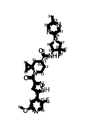 COc1cc(-c2cc(C(=O)N3CC[C@H](C(=O)N[C@H]4CN(c5cnc(C)cn5)CC4(F)F)CC34CC4)n[nH]2)c(F)cn1